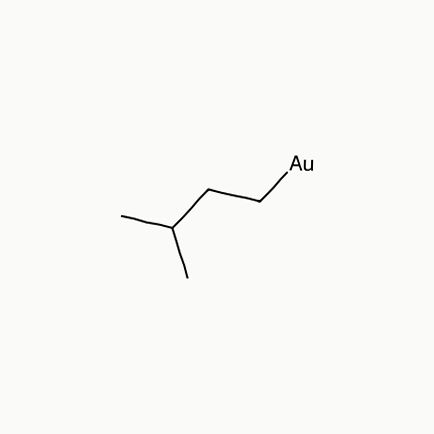 CC(C)C[CH2][Au]